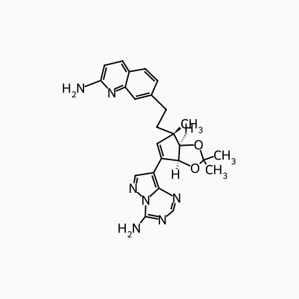 CC1(C)O[C@H]2C(c3cnn4c(N)ncnc34)=C[C@](C)(CCc3ccc4ccc(N)nc4c3)[C@H]2O1